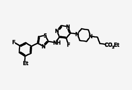 CCOC(=O)CCN1CCN(c2ncnc(Nc3nc(-c4cc(F)cc(CC)c4)cs3)c2F)CC1